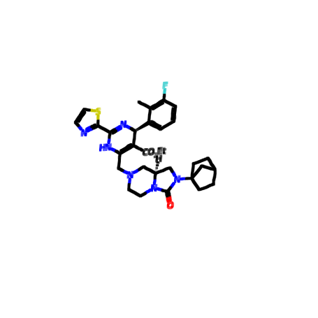 CCOC(=O)C1=C(CN2CCN3C(=O)N(C45CCC(CC4)C5)C[C@@H]3C2)NC(c2nccs2)=N[C@H]1c1cccc(F)c1C